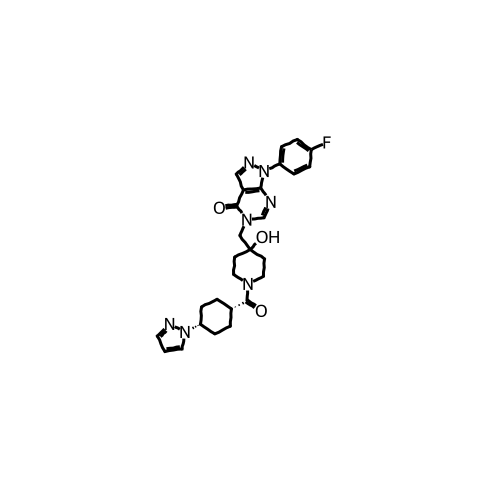 O=c1c2cnn(-c3ccc(F)cc3)c2ncn1CC1(O)CCN(C(=O)[C@H]2CC[C@@H](n3cccn3)CC2)CC1